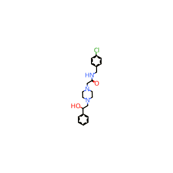 O=C(CN1CCN(CC(O)c2ccccc2)CC1)NCc1ccc(Cl)cc1